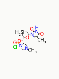 Cc1cn([C@H]2C[SiH2]C[C@@H](COP(=O)(Cl)N3CCN(C)CC3)O2)c(=O)[nH]c1=O